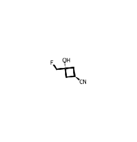 N#C[C@H]1C[C@@](O)(CF)C1